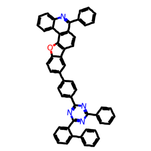 c1ccc(-c2nc(-c3ccc(-c4ccc5oc6c(ccc7c(-c8ccccc8)nc8ccccc8c76)c5c4)cc3)nc(-c3ccccc3-c3ccccc3)n2)cc1